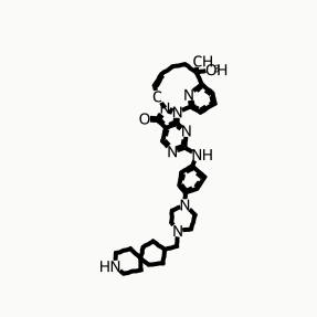 CC1(O)CCC=CCn2c(=O)c3cnc(Nc4ccc(N5CCN(CC6CCC7(CCNCC7)CC6)CC5)cc4)nc3n2-c2cccc1n2